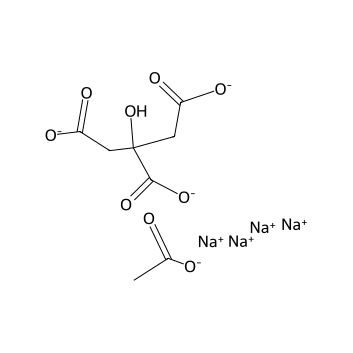 CC(=O)[O-].O=C([O-])CC(O)(CC(=O)[O-])C(=O)[O-].[Na+].[Na+].[Na+].[Na+]